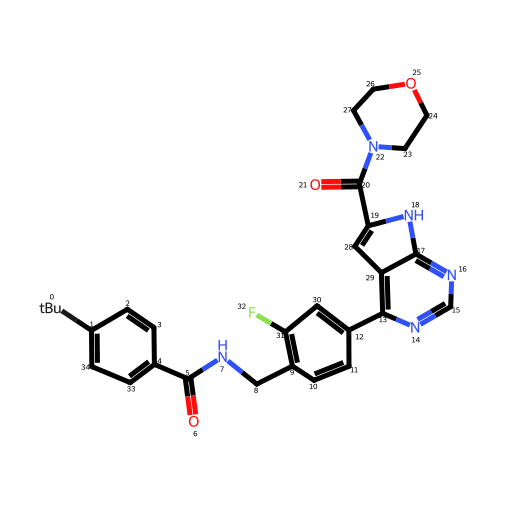 CC(C)(C)c1ccc(C(=O)NCc2ccc(-c3ncnc4[nH]c(C(=O)N5CCOCC5)cc34)cc2F)cc1